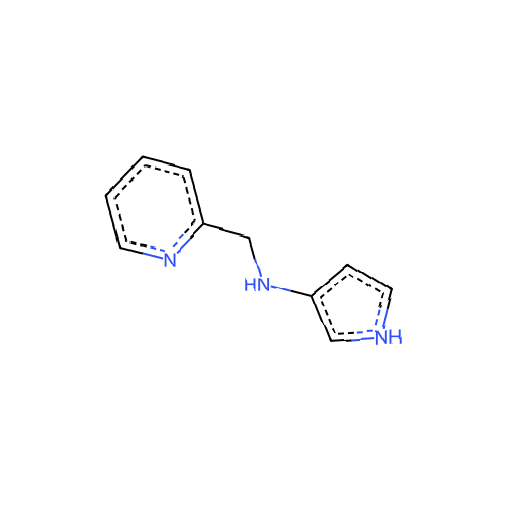 c1ccc(CNc2cc[nH]c2)nc1